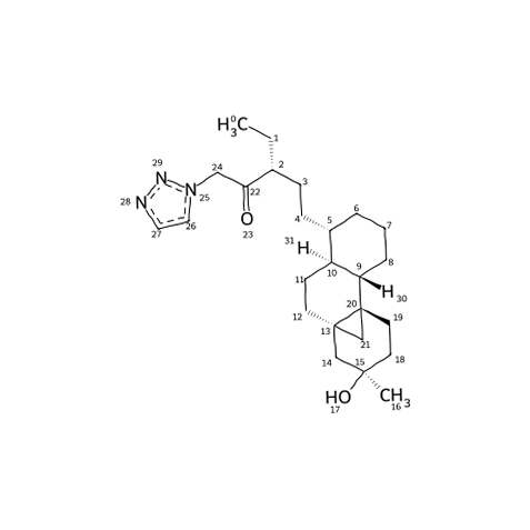 CC[C@H](CC[C@@H]1CCC[C@H]2[C@H]1CC[C@]13C[C@](C)(O)CC[C@]21C3)C(=O)Cn1ccnn1